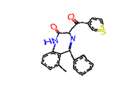 Cc1cccc2c1C(c1ccccc1)=NC(C(=O)c1ccsc1)C(=O)N2